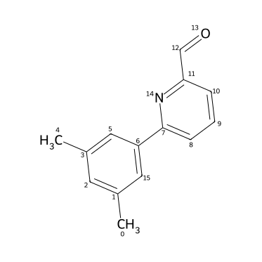 Cc1cc(C)cc(-c2cccc(C=O)n2)c1